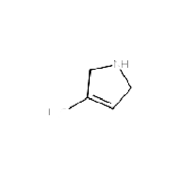 CC1=[C]CNC1